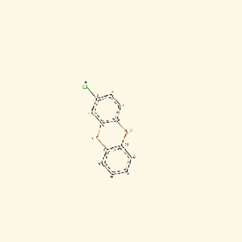 Clc1ccc2c(c1)Sc1c[c]ccc1S2